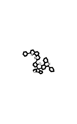 c1ccc(-c2ccc3ccc4ccc(-c5cccc6c5Oc5c(ccc7c(-c8ccccc8)nc8ccccc8c57)C65c6ccccc6-c6ccccc65)nc4c3n2)cc1